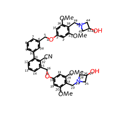 COc1cc(OCc2cccc(-c3cccc(COc4cc(OC)c(CN5CC(O)C5)c(OC)c4)c3C#N)c2)cc(OC)c1CN1CC(O)C1